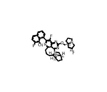 N#Cc1c(F)ccc2cccc(-c3nc4c5c(nc(OC[C@@]67CCCN6C[C@H](F)C7)nc5c3F)N3C[C@H]5CC[C@H](N5)[C@H]3CCC4)c12